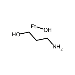 CCO.NCCCO